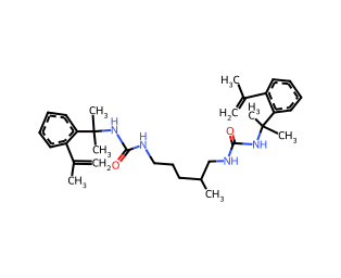 C=C(C)c1ccccc1C(C)(C)NC(=O)NCCCC(C)CNC(=O)NC(C)(C)c1ccccc1C(=C)C